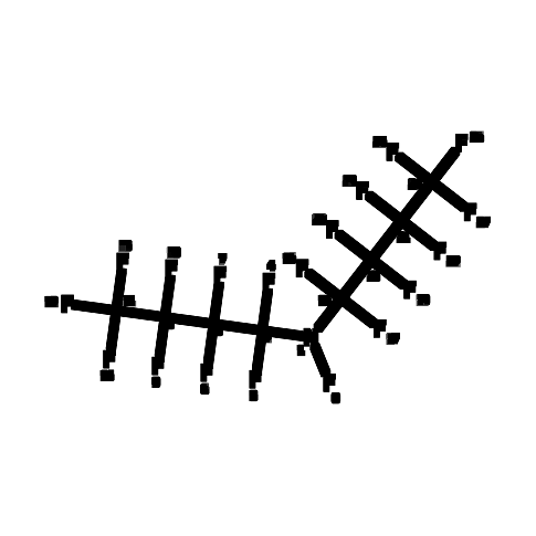 FN(C(F)(F)C(F)(F)C(F)(F)C(F)(F)F)C(F)(F)C(F)(F)C(F)(F)C(F)(F)F